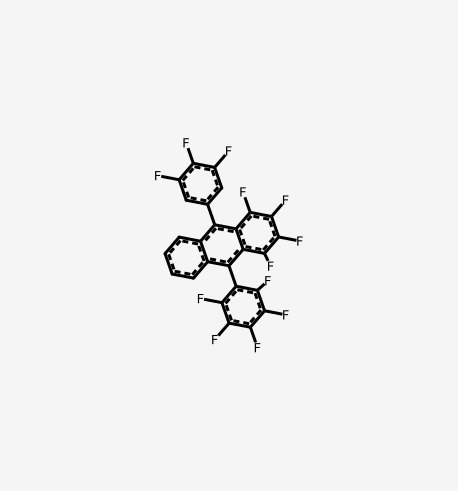 Fc1cc(-c2c3ccccc3c(-c3c(F)c(F)c(F)c(F)c3F)c3c(F)c(F)c(F)c(F)c23)cc(F)c1F